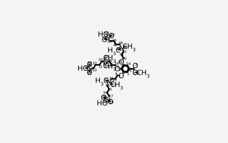 COC(=O)c1cc(OCCC[N+](C)(C)CCCCS(=O)(=O)O)c(OCCC[N+](C)(C)CCCCS(=O)(=O)O)c(OCCC[N+](C)(C)CCCCS(=O)(=O)O)c1